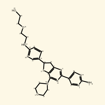 Nc1ncc(-c2nc3c(c(N4CCOCC4)n2)SC(c2ccc(NCCOCCO)nc2)C3)cn1